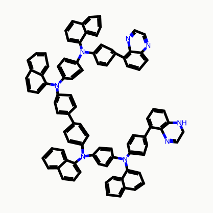 C1=Nc2c(cccc2-c2ccc(N(c3ccc(N(c4ccc(-c5ccc(N(c6ccc(N(c7ccc(-c8cccc9nccnc89)cc7)c7cccc8ccccc78)cc6)c6cccc7ccccc67)cc5)cc4)c4cccc5ccccc45)cc3)c3cccc4ccccc34)cc2)NC1